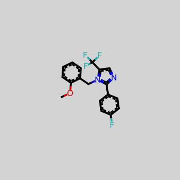 COc1ccccc1Cn1c(C(F)(F)F)cnc1-c1ccc(F)cc1